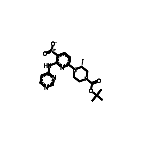 C[C@@H]1CN(C(=O)OC(C)(C)C)CCN1c1ccc([N+](=O)[O-])c(Nc2ccncn2)n1